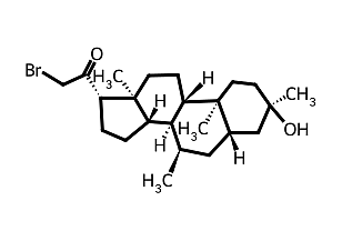 C[C@@H]1C[C@H]2C[C@](C)(O)CC[C@]2(C)[C@H]2CC[C@]3(C)[C@@H](C(=O)CBr)CC[C@H]3[C@H]12